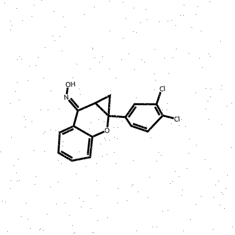 ON=C1c2ccccc2OC2(c3ccc(Cl)c(Cl)c3)CC12